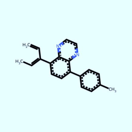 C=C/C(=C\C)c1ccc(-c2ccc(C)cc2)c2nccnc12